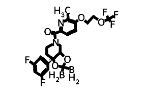 BC1(B)OC2CN(C(=O)c3ccc(OCCOC(F)(F)F)c(C)n3)CC[C@]2(c2cc(F)cc(F)c2)O1